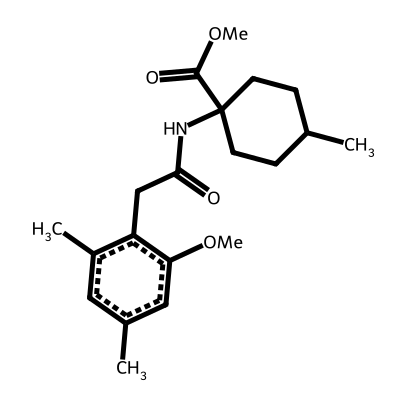 COC(=O)C1(NC(=O)Cc2c(C)cc(C)cc2OC)CCC(C)CC1